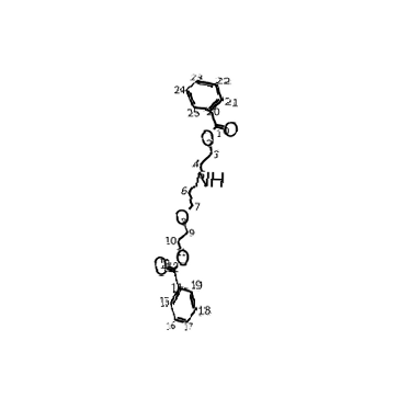 O=C(OCCNCCOCCOC(=O)c1ccccc1)c1ccccc1